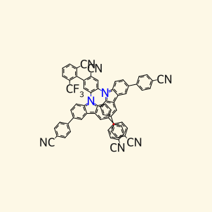 N#Cc1ccc(-c2ccc3c(c2)c2cc(-c4ccc(C#N)cc4)ccc2n3-c2cc(C#N)c(-c3c(C#N)cccc3C(F)(F)F)cc2-n2c3ccc(-c4ccc(C#N)cc4)cc3c3cc(-c4ccc(C#N)cc4)ccc32)cc1